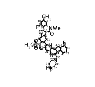 CNC(=O)c1c(-c2ccc(C)cc2F)oc2cc(N(C)S(C)(=O)=O)c(-c3ccc4nc(CN5CCC(F)(F)CC5)n5c6cccc(F)c6cc5c4n3)cc12